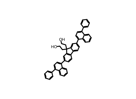 OCCC1(CCO)c2cc(-c3ccc(-c4ccccc4)c4ccccc34)ccc2-c2ccc(-c3ccc(-c4ccccc4)c4ccccc34)cc21